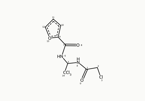 O=C(CCl)NC(NC(=O)c1ccco1)C(Cl)(Cl)Cl